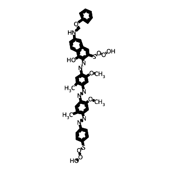 COc1cc(N=Nc2ccc(SOOO)cc2)c(C)cc1N=Nc1cc(OC)c(N=Nc2c(SOOO)cc3cc(NCOc4ccccc4)ccc3c2O)cc1C